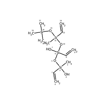 C=C[Si](C)(O)O[Si](O)(C=C)O[Si](C)(C=C)O[Si](C)(C)C